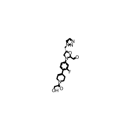 O=CC1O[C@@H](Cn2ccnn2)CN1c1ccc(C2=CCN(C(=O)CO)CC2)c(F)c1